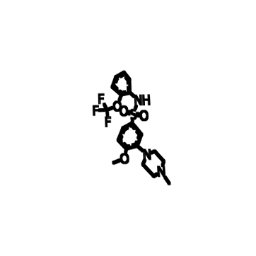 COc1ccc(S(=O)(=O)Nc2ccccc2OC(F)(F)F)cc1N1CCN(C)CC1